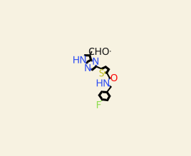 O=[C]c1c[nH]c2ncc(-c3ccc(C(=O)NCc4ccc(F)cc4)s3)nc12